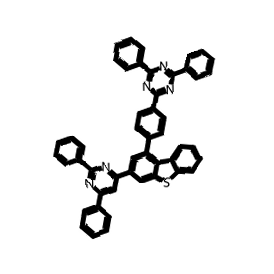 c1ccc(-c2cc(-c3cc(-c4ccc(-c5nc(-c6ccccc6)nc(-c6ccccc6)n5)cc4)c4c(c3)sc3ccccc34)nc(-c3ccccc3)n2)cc1